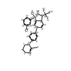 CC1=NCCCN1c1ccc(N2C=CC3C(=C2)[N+]([O-])(c2cccc(Cl)c2)NC3C(F)(F)F)cc1